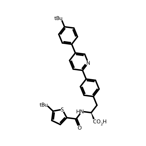 CC(C)(C)c1ccc(-c2ccc(-c3ccc(C[C@H](NC(=O)c4ccc(C(C)(C)C)s4)C(=O)O)cc3)nc2)cc1